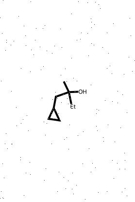 [CH2]CC(C)(O)CC1CC1